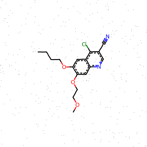 CCCCOc1cc2c(Cl)c(C#N)cnc2cc1OCCOC